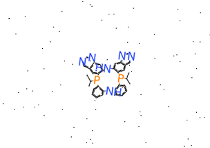 CC(C)P1c2ccccc2Nc2ccccc2P(C(C)C)c2cc3cncnc3cc2Nc2cc3ncncc3cc21